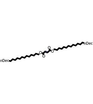 CCCCCCCCCCCCCCCCCCCCCCCOC(=O)/C=C/C(=O)OCCCCCCCCCCCCCCCCCCCCCCC